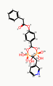 O=C(Cc1ccccc1)Oc1ccc(C2OP(=O)(O)C(O)(Cc3cccnc3)P(=O)(O)O2)cc1